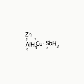 [AlH3].[Cu].[SbH3].[Zn]